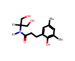 CCN(C(=O)CCc1cc(C(C)(C)C)cc(C(C)(C)C)c1O)C(CC)(CO)CO